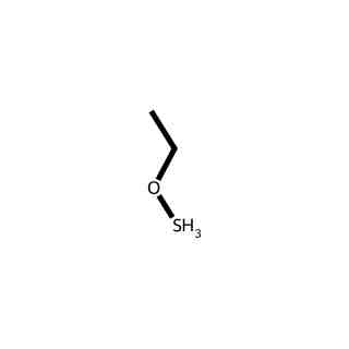 CCO[SH3]